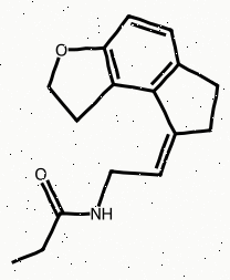 CCC(=O)NC/C=C1/CCc2ccc3c(c21)CCO3